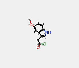 COc1ccc2[nH]cc(CC(=O)Cl)c2c1